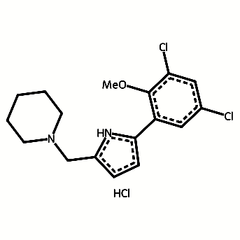 COc1c(Cl)cc(Cl)cc1-c1ccc(CN2CCCCC2)[nH]1.Cl